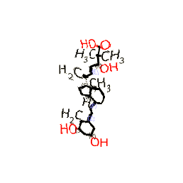 C=C(/C=C/[C@@H](O)C(C)(C)C(=O)O)[C@H]1CC[C@H]2/C(=C/C=C3/C[C@@H](O)C[C@H](O)C3=C)CCC[C@]12C